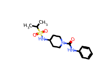 CC(C)S(=O)(=O)NC1CCN(C(=O)Nc2ccccc2)CC1